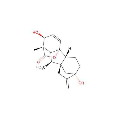 C=C1C[C@]23C[C@@]1(O)CC[C@H]2[C@@]12C=C[C@H](O)[C@@](C)(C(=O)O1)C2[C@@H]3C(=O)O